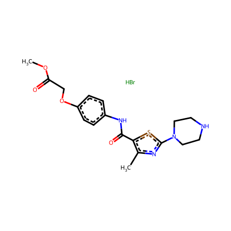 Br.COC(=O)COc1ccc(NC(=O)c2sc(N3CCNCC3)nc2C)cc1